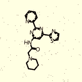 O=C(CN1CCCCC1)Nc1cc(-c2nccs2)nc(-c2ccccn2)n1